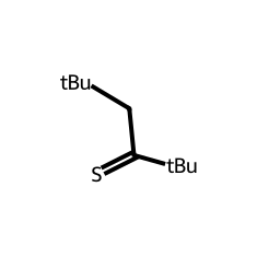 CC(C)(C)CC(=S)C(C)(C)C